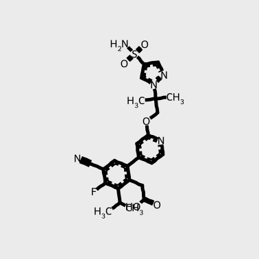 CC(C)c1c(F)c(C#N)cc(-c2ccnc(OCC(C)(C)n3cc(S(N)(=O)=O)cn3)c2)c1CC(=O)O